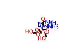 NC1(N)NC(=O)C2=C(N1)[N+](C1COC(CO)O1)(C1COC(CO)O1)C=N2